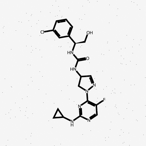 O=C(NC1C=NN(c2nc(NC3CC3)ncc2F)C1)N[C@H](CO)c1cccc(Cl)c1